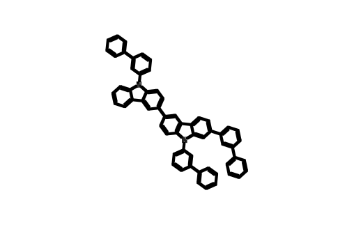 c1ccc(-c2cccc(-c3ccc4c5cc(-c6ccc7c(c6)c6ccccc6n7-c6cccc(-c7ccccc7)c6)ccc5n(-c5cccc(-c6ccccc6)c5)c4c3)c2)cc1